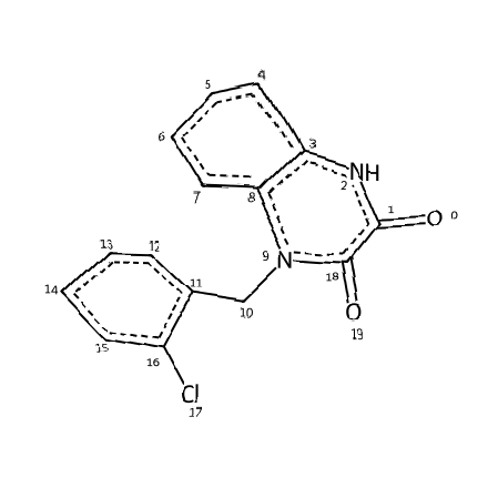 O=c1[nH]c2ccccc2n(Cc2ccccc2Cl)c1=O